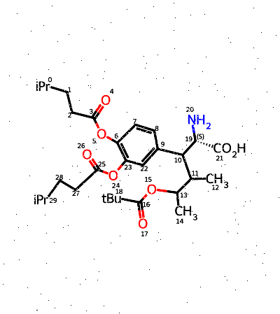 CC(C)CCC(=O)Oc1ccc(C(C(C)C(C)OC(=O)C(C)(C)C)[C@H](N)C(=O)O)cc1OC(=O)CCC(C)C